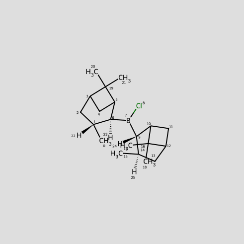 C[C@@H]1CC2CC([C@H]1B(Cl)[C@@H]1C3CC(C[C@H]1C)C3(C)C)C2(C)C